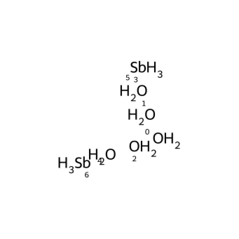 O.O.O.O.O.[SbH3].[SbH3]